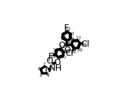 O=C(NN1CCCC1)Oc1cc2c(cc1F)OC(c1ccc(F)cc1)(c1ccc(Cl)cc1Cl)O2